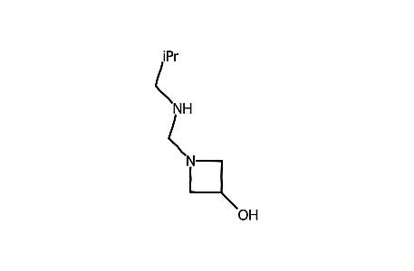 CC(C)CNCN1CC(O)C1